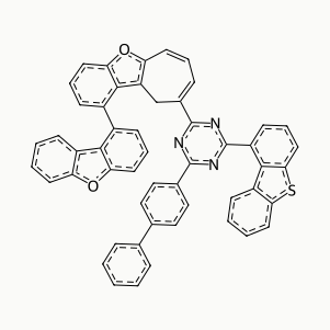 C1=Cc2oc3cccc(-c4cccc5oc6ccccc6c45)c3c2CC(c2nc(-c3ccc(-c4ccccc4)cc3)nc(-c3cccc4sc5ccccc5c34)n2)=C1